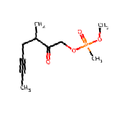 CC#CCC(C)C(=O)COP(C)(=O)OC